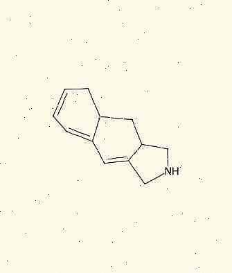 C1=CCC2CC3CNCC3=CC2=C1